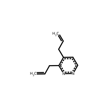 C=CCc1ccnnc1CC=C